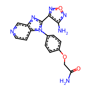 NC(=O)COc1ccc(-n2c(-c3nonc3N)nc3cnccc32)cc1